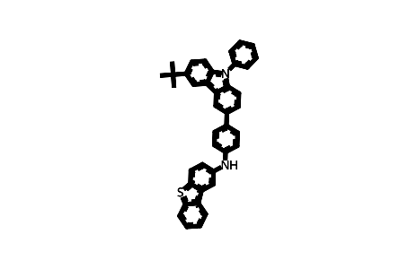 CC(C)(C)c1ccc2c(c1)c1cc(-c3ccc(Nc4ccc5sc6ccccc6c5c4)cc3)ccc1n2-c1ccccc1